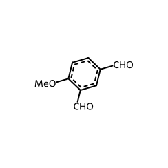 COc1ccc(C=O)cc1C=O